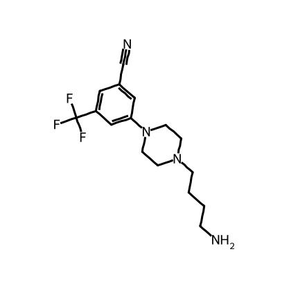 N#Cc1cc(N2CCN(CCCCN)CC2)cc(C(F)(F)F)c1